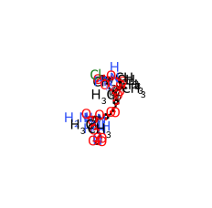 COc1ccc(C[C@H]2NC(=O)/C=C/C[C@@H]([C@H](C)[C@@H]3O[C@H]3c3ccc(CCC(=O)OCc4ccc(NC(=O)[C@H](CCCNC(N)=O)CC(=O)[C@@H](NC(=O)CCCC(=O)ON5C(=O)CCC5=O)C(C)C)cc4)cc3)OC(=O)[C@H](CC(C)C)OC(=O)C(C)(C)CNC2=O)cc1Cl